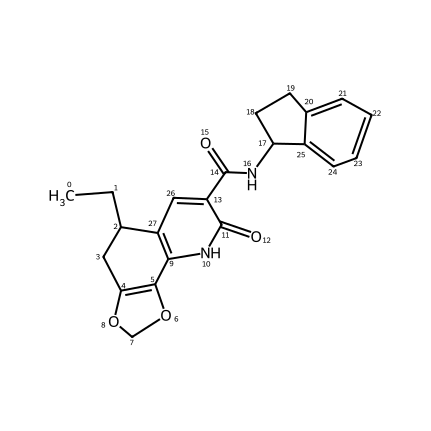 CCC1CC2=C(OCO2)c2[nH]c(=O)c(C(=O)NC3CCc4ccccc43)cc21